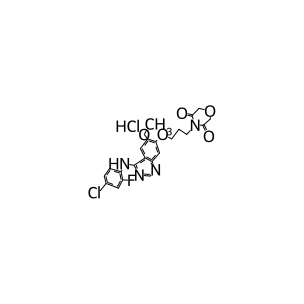 COc1cc2c(Nc3ccc(Cl)cc3F)ncnc2cc1OCCCN1C(=O)COCC1=O.Cl